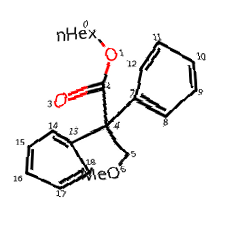 CCCCCCOC(=O)C(COC)(c1ccccc1)c1ccccc1